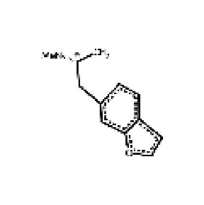 CN[C@H](C)Cc1ccc2ccoc2c1